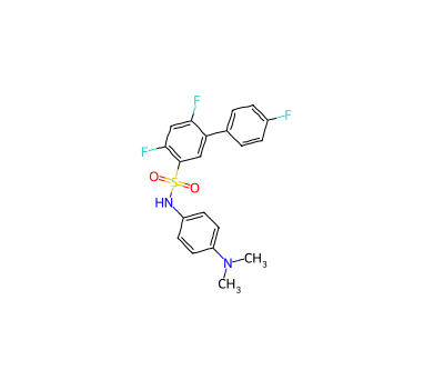 CN(C)c1ccc(NS(=O)(=O)c2cc(-c3ccc(F)cc3)c(F)cc2F)cc1